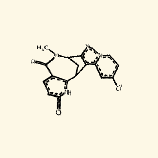 CN1C(=O)c2ccc(=O)[nH]c2C2CC1c1nn3ccc(Cl)cc3c12